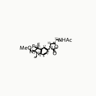 CON=C1N(C)c2ccc(N3C[C@H](CNC(C)=O)OC3=O)cc2C1(F)F